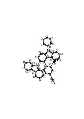 N#Cc1ccc(-c2c(-n3c4ccccc4c4ccccc43)ccc3c2c2ccccc2n3-c2ccccc2)c(C#N)c1